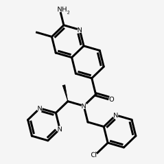 Cc1cc2cc(C(=O)N(Cc3ncccc3Cl)[C@H](C)c3ncccn3)ccc2nc1N